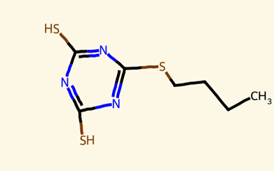 CCCCSc1nc(S)nc(S)n1